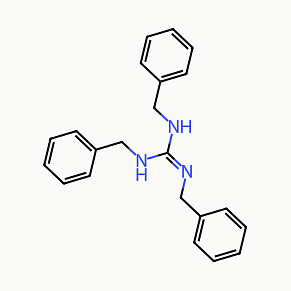 c1ccc(CN=C(NCc2ccccc2)NCc2ccccc2)cc1